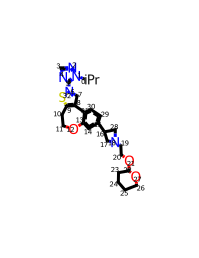 CC(C)n1ncnc1N1CC2=C(CCOc3cc(C4CN(CCOC5CCCCO5)C4)ccc32)S1